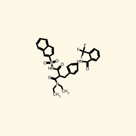 CCN(CC)C(=O)C(Cc1ccc(NC(=O)c2ccccc2C(F)(F)F)cc1)C(=O)NS(=O)(=O)c1ccc2ccccc2c1